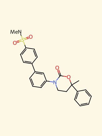 CNS(=O)(=O)c1ccc(-c2cccc(N3CCC(C)(c4ccccc4)OC3=O)c2)cc1